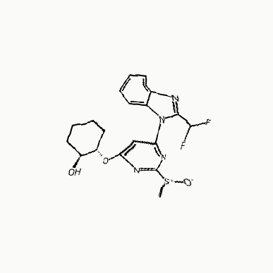 C[S+]([O-])c1nc(O[C@H]2CCCC[C@@H]2O)cc(-n2c(C(F)F)nc3ccccc32)n1